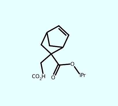 CC(C)OC(=O)C1(CC(=O)O)CC2C=CC1C2